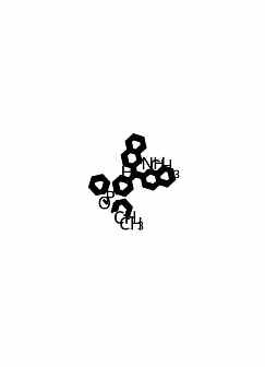 C#C/C=C\C(=C/C)P(=O)(c1ccccc1)c1ccc(C2=C3C=Cc4ccccc4C3(C)NC3c4ccccc4C=C[C@H]23)cc1